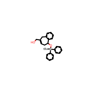 CC(C)(C)[Si](OC1CC=C(CO)Cc2ccccc21)(c1ccccc1)c1ccccc1